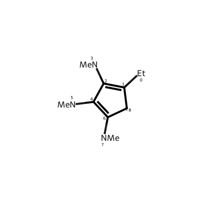 CCC1=C(NC)C(NC)=C(NC)[CH]1